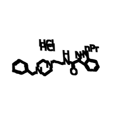 CCCn1nc(C(=O)NCCN2CCN(Cc3ccccc3)CC2)c2ccccc21.Cl.Cl